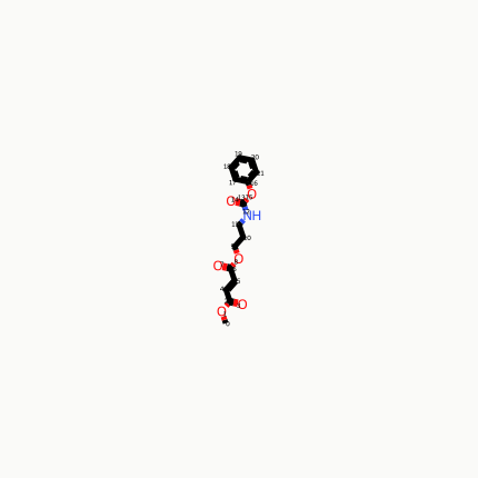 COC(=O)/C=C/C(=O)OCCCNC(=O)Oc1ccccc1